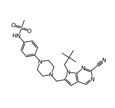 CC(C)(C)Cn1c(CN2CCN(c3ccc(NS(C)(=O)=O)cc3)CC2)cc2cnc(C#N)nc21